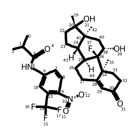 CC(C)C(=O)Nc1ccc([N+](=O)[O-])c(C(F)(F)F)c1.C[C@]1(O)CC[C@H]2[C@@H]3CCC4=CC(=O)CC[C@]4(C)[C@@]3(F)[C@@H](O)C[C@@]21C